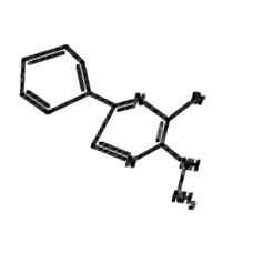 NNc1ncc(-c2ccccc2)nc1Br